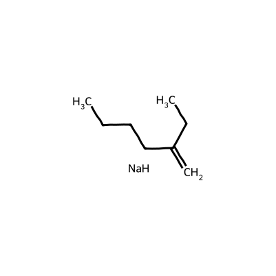 C=C(CC)CCCC.[NaH]